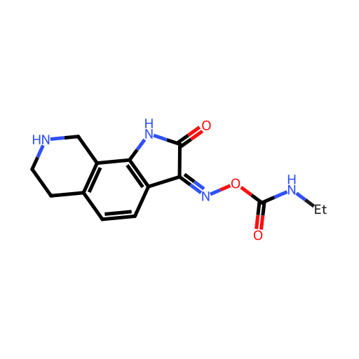 CCNC(=O)ON=C1C(=O)Nc2c1ccc1c2CNCC1